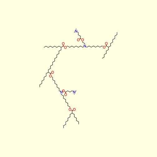 CCCCCCCCC(CCCCCC)C(=O)OCCCCCCCCN(CCCCCCCCOC(=O)C(CCCCCCCC)CCCCCCCCCCCCC(CCCCCCCC)C(=O)OCCCCCCCCN(CCCCCCCCOC(=O)C(CCCCCC)CCCCCCCC)OC(=O)CCCN(C)C)CCOC(=O)CCCN(C)C